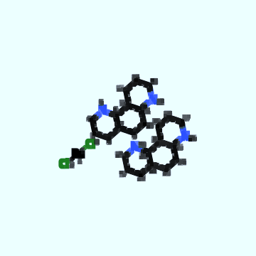 [Cl][Ru][Cl].c1cnc2c(c1)ccc1ncccc12.c1cnc2c(c1)ccc1ncccc12